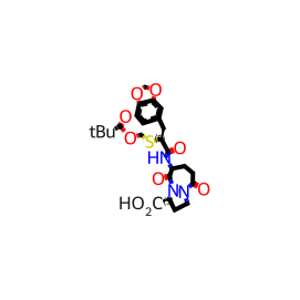 CC(C)(C)C(=O)OCS[C@@H](Cc1ccc2c(c1)OCO2)C(=O)NC1CCC(=O)N2CC[C@@H](C(=O)O)N2C1=O